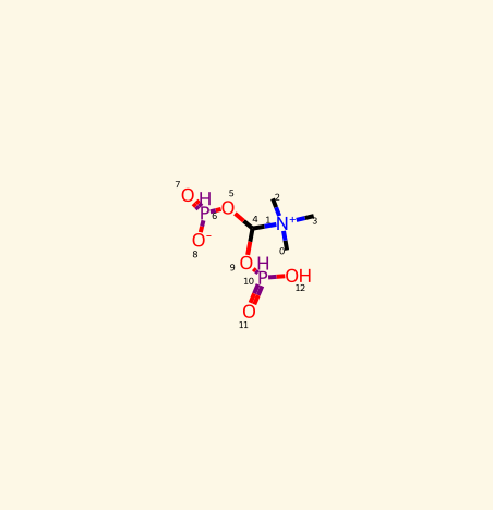 C[N+](C)(C)C(O[PH](=O)[O-])O[PH](=O)O